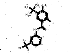 Cc1cc(F)c(C(=O)Nc2cc(C(F)(F)F)ccn2)cc1C(C)(C)C